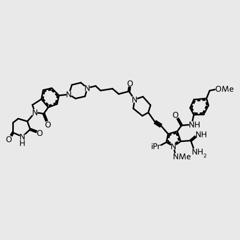 CNn1c(C(=N)N)c(C(=O)Nc2ccc(COC)cc2)c(C#CC2CCN(C(=O)CCCCN3CCN(c4ccc5c(c4)C(=O)N(C4CCC(=O)NC4=O)C5)CC3)CC2)c1C(C)C